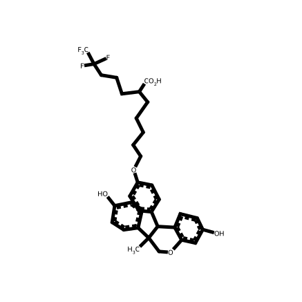 CC1(c2ccc(O)cc2)COc2cc(O)ccc2C1c1ccc(OCCCCCC(CCCC(F)(F)C(F)(F)F)C(=O)O)cc1